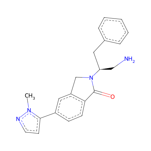 Cn1nccc1-c1ccc2c(c1)CN([C@H](CN)Cc1ccccc1)C2=O